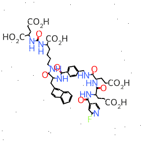 O=C(O)CCC(NC(=O)NC(CCCCNC(=O)C(Cc1ccc2ccccc2c1)NC(=O)c1ccc(CNC(=O)C(CCC(=O)O)NC(=O)C(CCC(=O)O)NC(=O)c2ccnc(F)c2)cc1)C(=O)O)C(=O)O